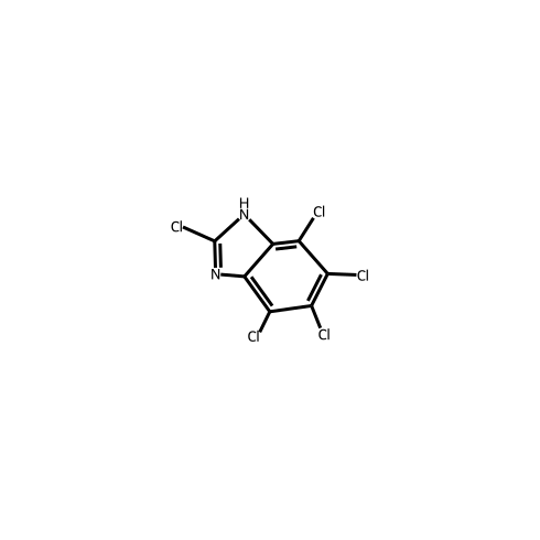 Clc1nc2c(Cl)c(Cl)c(Cl)c(Cl)c2[nH]1